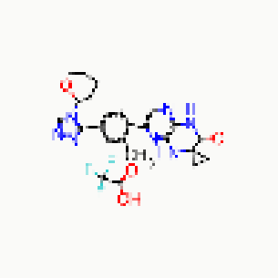 Cc1cc(-c2nncn2C2CCCCO2)ccc1-c1cnc2c(n1)NC1(CC1)C(=O)N2.O=C(O)C(F)(F)F